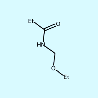 [CH2]CC(=O)NCOCC